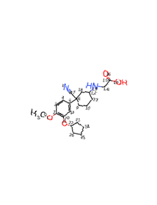 COc1ccc(C2(C#N)CCCC(NCC(=O)O)C2)cc1OC1CCCC1